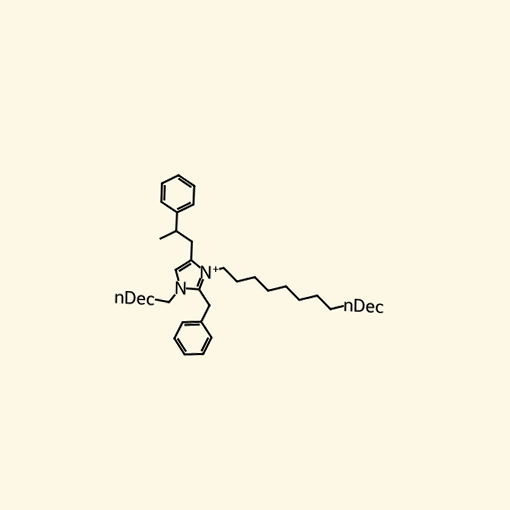 CCCCCCCCCCCCCCCCCC[n+]1c(CC(C)c2ccccc2)cn(CCCCCCCCCCC)c1Cc1ccccc1